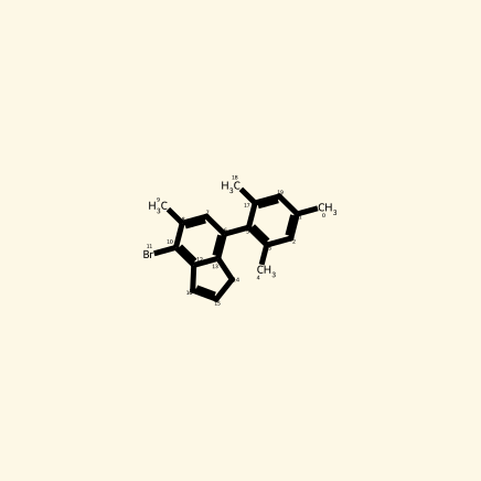 Cc1cc(C)c(-c2cc(C)c(Br)c3c2CC=C3)c(C)c1